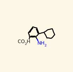 Nc1c(C(=O)O)cccc1C1CCCCC1